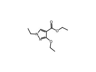 CCOC(=O)c1cn(CC)nc1OCC